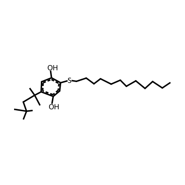 CCCCCCCCCCCCSc1cc(O)c(C(C)(C)CC(C)(C)C)cc1O